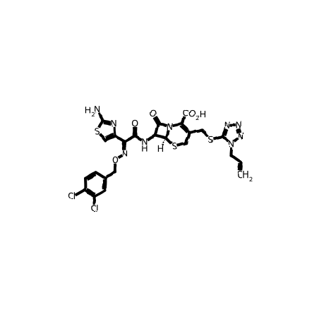 C=CCn1nnnc1SCC1=C(C(=O)O)N2C(=O)C(NC(=O)C(=NOCc3ccc(Cl)c(Cl)c3)c3csc(N)n3)[C@@H]2SC1